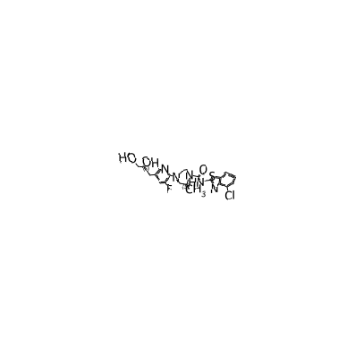 C[C@H]1CN(c2ncc(C[C@H](O)CO)cc2F)CCN1C(=O)Nc1nc2c(Cl)cccc2s1